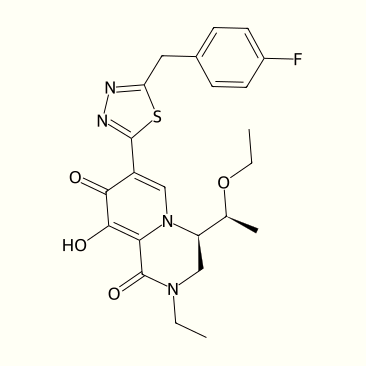 CCO[C@@H](C)[C@H]1CN(CC)C(=O)c2c(O)c(=O)c(-c3nnc(Cc4ccc(F)cc4)s3)cn21